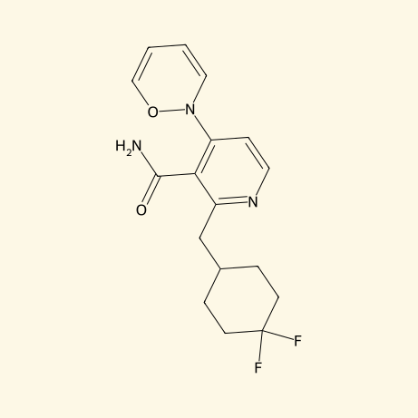 NC(=O)c1c(N2C=CC=CO2)ccnc1CC1CCC(F)(F)CC1